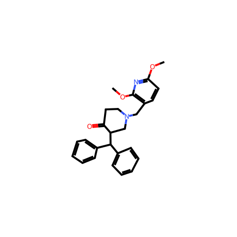 COc1ccc(CN2CCC(=O)C(C(c3ccccc3)c3ccccc3)C2)c(OC)n1